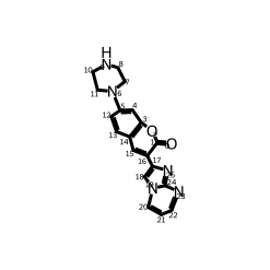 O=c1oc2cc(N3CCNCC3)ccc2cc1-c1cn2cccnc2n1